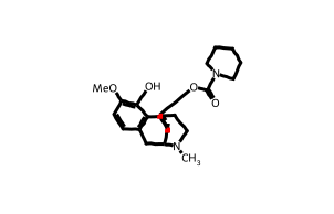 COc1ccc2c(c1O)C13CCN(C)C(C2)C1CC=C(OC(=O)N1CCCCC1)C3